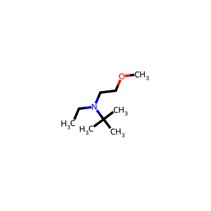 CCN(CCOC)C(C)(C)C